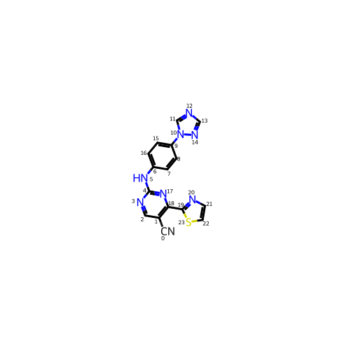 N#Cc1cnc(Nc2ccc(-n3cncn3)cc2)nc1-c1nccs1